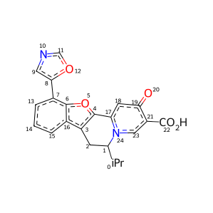 CC(C)C1Cc2c(oc3c(-c4cnco4)cccc23)-c2cc(=O)c(C(=O)O)cn21